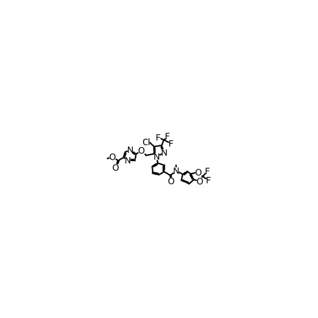 COC(=O)c1cnc(OCc2c(Cl)c(C(F)(F)F)nn2-c2cccc(C(=O)N(C)c3ccc4c(c3)OC(F)(F)O4)c2)cn1